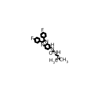 CN(C)CCNC(=O)Nc1ccc2nc(-c3ccc(F)cc3)c(-c3ccc(F)cc3)nc2c1